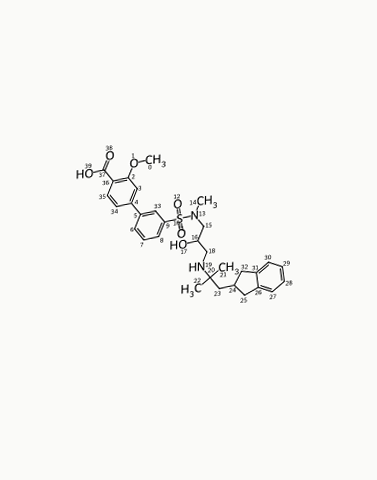 COc1cc(-c2cccc(S(=O)(=O)N(C)CC(O)CNC(C)(C)CC3Cc4ccccc4C3)c2)ccc1C(=O)O